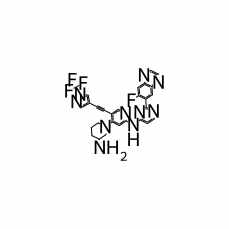 N[C@H]1CCCN(c2cc(Nc3ccnc(-c4cc5nccnc5cc4F)n3)ncc2C#Cc2cnn(C(F)(F)F)c2)C1